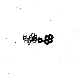 CC1(C)OB(c2ccc(-c3ccc4ccc5cccc6ccc3c4c56)cc2)OC1(C)C